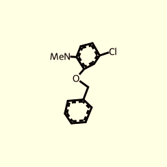 CNc1ccc(Cl)cc1OCc1ccccc1